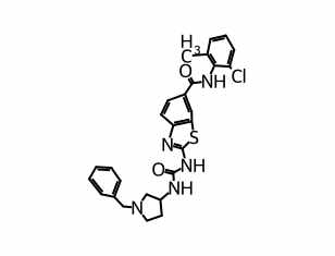 Cc1cccc(Cl)c1NC(=O)c1ccc2nc(NC(=O)NC3CCN(Cc4ccccc4)C3)sc2c1